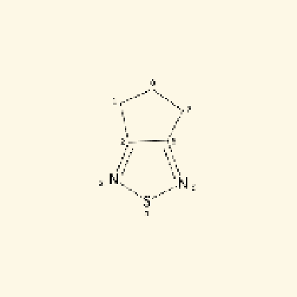 C1Cc2nsnc2C1